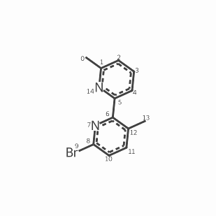 Cc1cccc(-c2nc(Br)ccc2C)n1